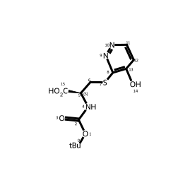 CC(C)(C)OC(=O)N[C@H](CSc1nnccc1O)C(=O)O